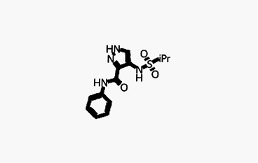 CC(C)S(=O)(=O)Nc1c[nH]nc1C(=O)Nc1ccccc1